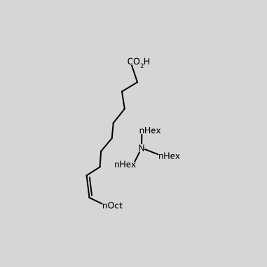 CCCCCCCC/C=C\CCCCCCCC(=O)O.CCCCCCN(CCCCCC)CCCCCC